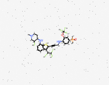 CN1CCC(Nc2cccc3c(C(F)C(F)F)c(C#CCNc4ccc(P(C)(C)=O)cc4OC(F)(F)F)sc23)C(F)C1